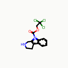 O=C(OCC(Cl)(Cl)Cl)n1c2c(c3ccccc31)CCNC2